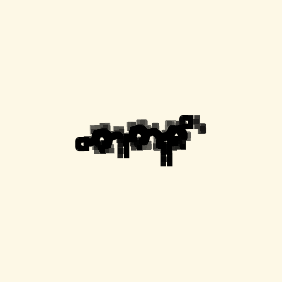 Cc1cnc2[nH]cc(Cc3ccc(NCc4ccc(Cl)nc4)nc3)c2c1